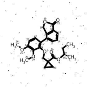 CC[C@@H](C)OC(=O)C1(COc2c(-c3cccc4c3COC4=O)ccc(OC)c2OC)CC1